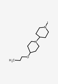 CCCOC1CCN(C2CCN(I)CC2)CC1